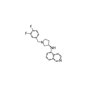 Fc1ccc(CN2CC[C@@H](Nc3cccc4cnccc34)C2)cc1F